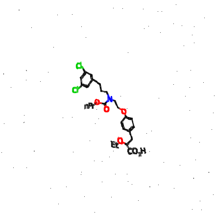 CCCOC(=O)N(CCCc1cc(Cl)cc(Cl)c1)CCOc1ccc(CC(OCC)C(=O)O)cc1